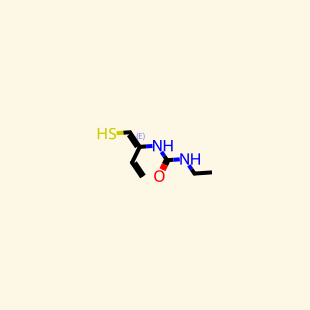 C=C/C(=C\S)NC(=O)NCC